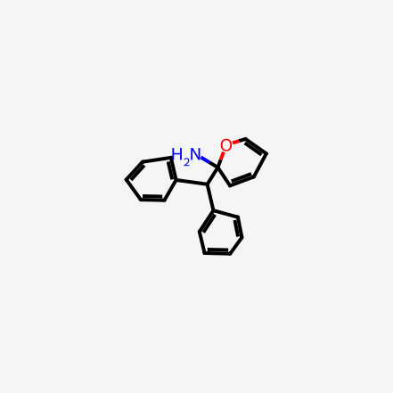 NC1(C(c2ccccc2)c2ccccc2)C=CC=CO1